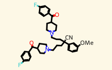 COc1cccc(C(C#N)(CCCN2CCC(C(=O)c3ccc(F)cc3)CC2)CCCN2CCC(C(=O)c3ccc(F)cc3)CC2)c1